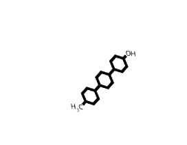 CC1CCC(C2CCC(C3CCC(O)CC3)CC2)CC1